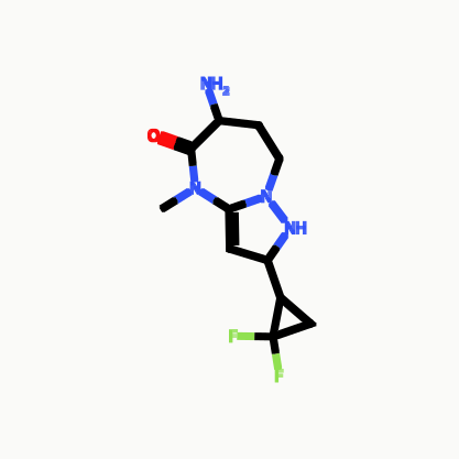 CN1C(=O)C(N)CCN2NC(C3CC3(F)F)C=C21